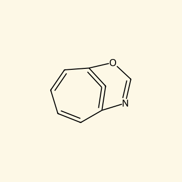 C1=C2C=CC=CC=1OC=N2